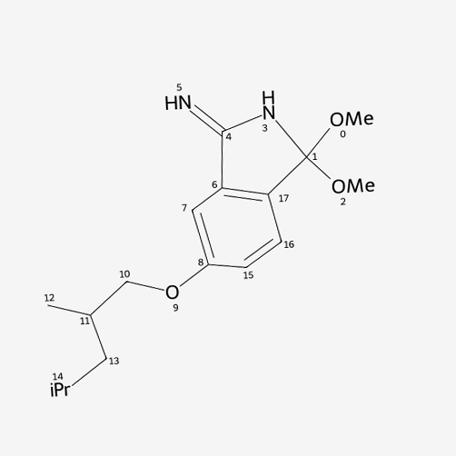 COC1(OC)NC(=N)c2cc(OCC(C)CC(C)C)ccc21